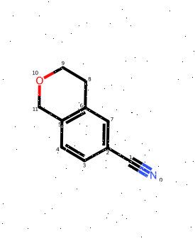 N#Cc1ccc2c(c1)CCOC2